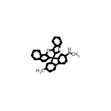 CBc1ccc2c(c1)C1(c3cc(C)ccc3-2)c2ccc3ccccc3c2Oc2c1ccc1ccccc21